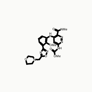 CNC(=O)c1nnc(NC(=O)OC)cc1Nc1cccc(-c2noc(CN3CCOCC3)n2)c1OC